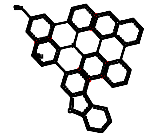 CC(C)(C)c1cc(-c2ccccc2N(c2ccccc2-c2ccc3c(c2)oc2ccccc23)c2ccccc2-c2cccc3cccc(-c4ccccc4)c23)cc(C(C)(C)C)c1